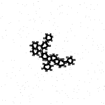 c1ccc(-c2ccc(N(c3ccc4c(c3)c3ccc5c6cc(-c7ccccc7)ccc6sc5c3n4-c3ccccc3)c3cccc4ccccc34)cc2)cc1